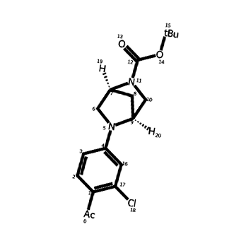 CC(=O)c1ccc(N2C[C@@H]3C[C@H]2CN3C(=O)OC(C)(C)C)cc1Cl